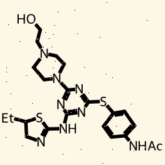 CCC1CN=C(Nc2nc(Sc3ccc(NC(C)=O)cc3)nc(N3CCN(CCO)CC3)n2)S1